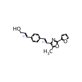 Cc1oc(-c2ccco2)nc1/C=C/c1ccc(/C=C/CO)cc1